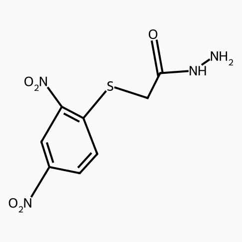 NNC(=O)CSc1ccc([N+](=O)[O-])cc1[N+](=O)[O-]